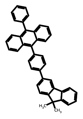 CC1(C)c2ccccc2-c2cc(-c3ccc(-c4c5ccccc5c(-c5ccccc5)c5ccccc45)cc3)ccc21